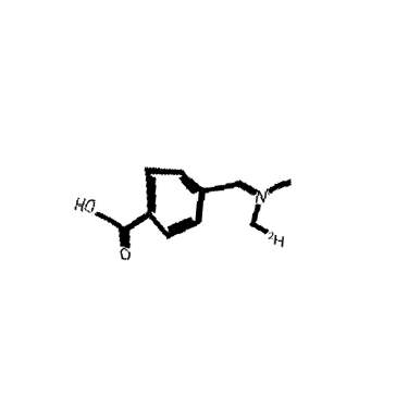 [2H]CN(C)Cc1ccc(C(=O)O)cc1